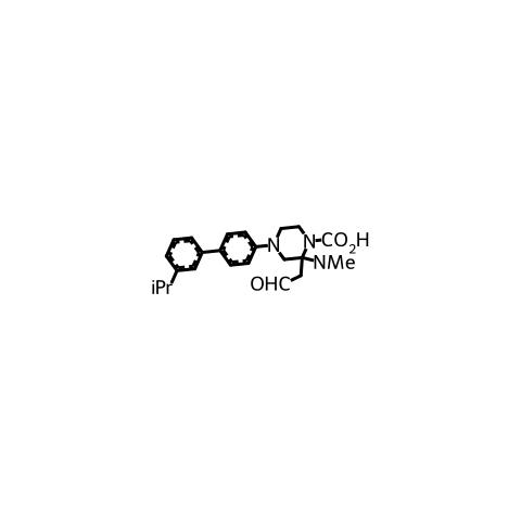 CNC1(CC=O)CN(c2ccc(-c3cccc(C(C)C)c3)cc2)CCN1C(=O)O